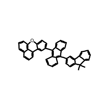 CC1(C)c2ccccc2-c2cc(-c3c4ccccc4c(-c4ccc5c(c4)-c4cccc6cccc(c46)O5)c4ccccc34)ccc21